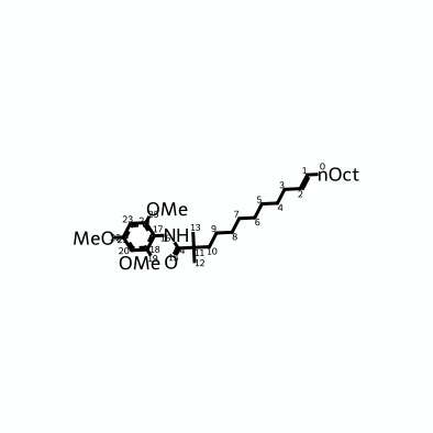 CCCCCCCCC=CCCCCCCCCC(C)(C)C(=O)Nc1c(OC)cc(OC)cc1OC